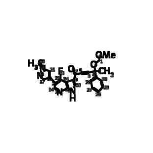 COCOC(C)(C#CC(=O)c1c[nH]c2ncc(-c3cnn(C)c3)c(F)c12)c1ccccc1